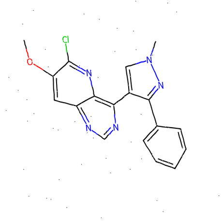 COc1cc2ncnc(-c3cn(C)nc3-c3ccccc3)c2nc1Cl